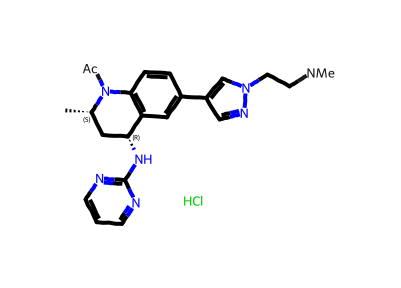 CNCCn1cc(-c2ccc3c(c2)[C@H](Nc2ncccn2)C[C@H](C)N3C(C)=O)cn1.Cl